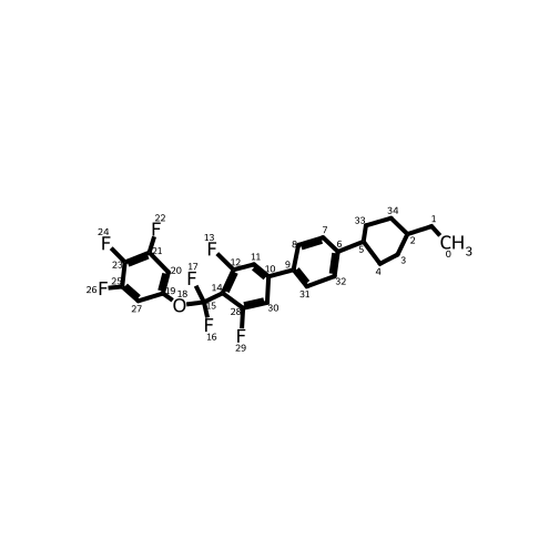 CCC1CCC(c2ccc(-c3cc(F)c(C(F)(F)Oc4cc(F)c(F)c(F)c4)c(F)c3)cc2)CC1